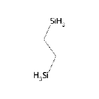 [SiH3]CC[SiH3]